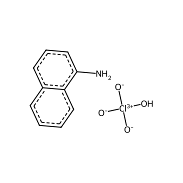 Nc1cccc2ccccc12.[O-][Cl+3]([O-])([O-])O